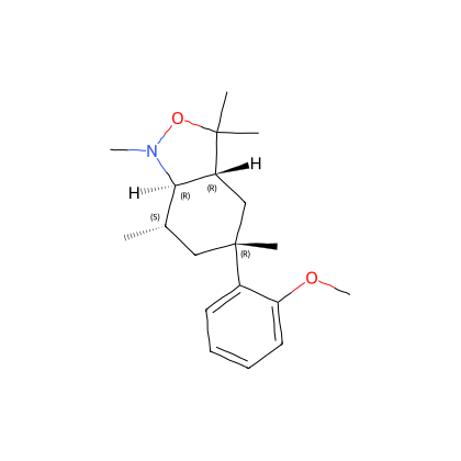 COc1ccccc1[C@@]1(C)C[C@@H]2[C@@H]([C@@H](C)C1)N(C)OC2(C)C